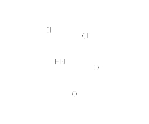 [O]C(=O)NC(Cl)Cl